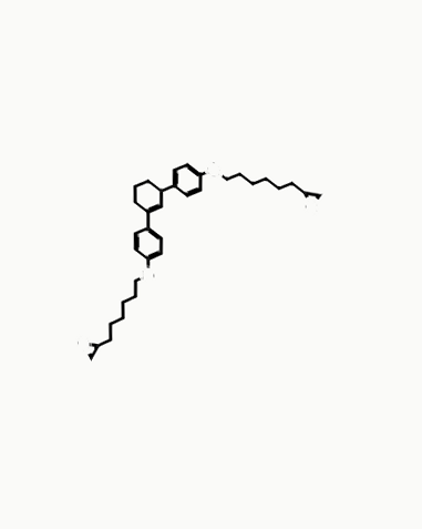 C1=C(c2ccc(OCCCCCCC3CO3)cc2)CCCC1c1ccc(OCCCCCCC2CO2)cc1